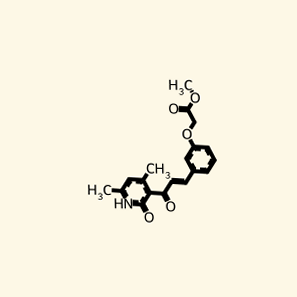 COC(=O)COc1cccc(/C=C/C(=O)c2c(C)cc(C)[nH]c2=O)c1